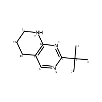 CC(C)(C)c1ncc2c(n1)NCCC2